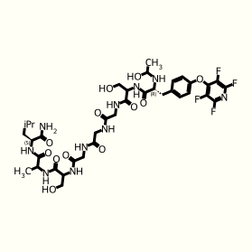 CC(C)C[C@H](NC(=O)C(C)NC(=O)C(CO)NC(=O)CNC(=O)CNC(=O)CNC(=O)C(CO)NC(=O)[C@@H](Cc1ccc(Oc2c(F)c(F)nc(F)c2F)cc1)NC(C)O)C(N)=O